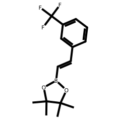 CC1(C)OB(C=Cc2cccc(C(F)(F)F)c2)OC1(C)C